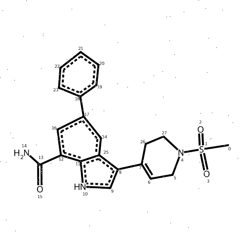 CS(=O)(=O)N1CC=C(c2c[nH]c3c(C(N)=O)cc(-c4ccccc4)cc23)CC1